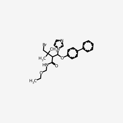 CCOCNC(=O)C(C(Oc1ccc(-c2ccccc2)cc1)n1ccnc1)C(C)(C)CBr